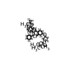 CC(C)(C)OC(=O)N1CC[C@H](Oc2ccc(-c3nc4c(OC5(C)CC5)ncnc4n3Cc3ccccc3)c(Cl)c2)C1